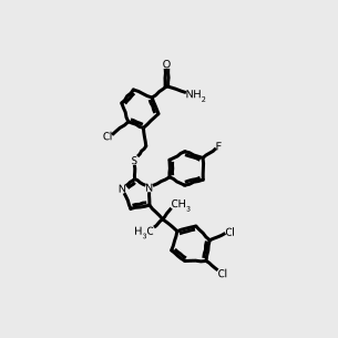 CC(C)(c1ccc(Cl)c(Cl)c1)c1cnc(SCc2cc(C(N)=O)ccc2Cl)n1-c1ccc(F)cc1